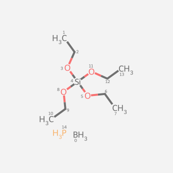 B.CCO[Si](OCC)(OCC)OCC.P